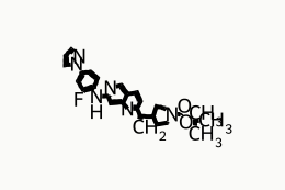 C=C(c1ccc2cnc(Nc3ccc(-n4cccn4)cc3F)cc2n1)C1CCN(C(=O)OC(C)(C)C)CC1